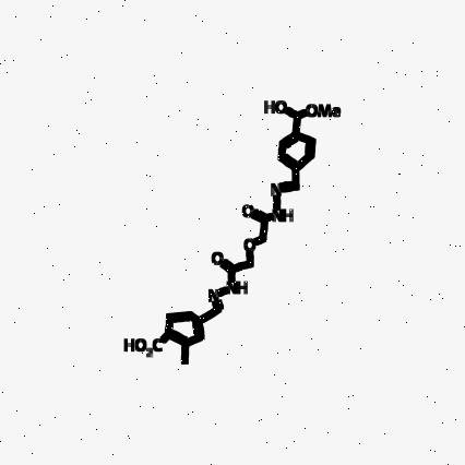 COC(O)c1ccc(C=NNC(=O)COCC(=O)NN=Cc2ccc(C(=O)O)c(C)c2)cc1